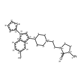 CC(C)N1CCN(CCN2CCC(c3cn(-c4cccs4)c4ccc(F)cc34)CC2)C1=O